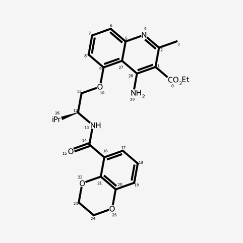 CCOC(=O)c1c(C)nc2cccc(OC[C@@H](NC(=O)c3cccc4c3OCCO4)C(C)C)c2c1N